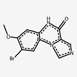 COc1cc2[nH]c(=O)c3cncn3c2cc1Br